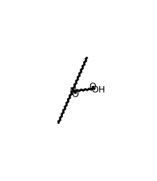 CCCCCCCCCCCCCCCCCCN(CCCCCCCCCCCCCCCCCC)C(=O)CCCCCCCCC(=O)O